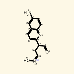 Nc1ccc2nc(C([C]=O)C/[C]=N\O)ccc2c1